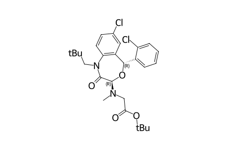 CN(CC(=O)OC(C)(C)C)[C@@H]1O[C@@H](c2ccccc2Cl)c2cc(Cl)ccc2N(CC(C)(C)C)C1=O